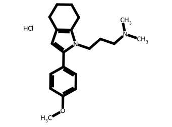 COc1ccc(-c2cc3c(n2CCCN(C)C)CCCC3)cc1.Cl